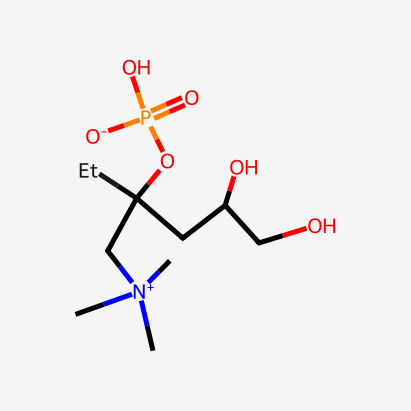 CCC(CC(O)CO)(C[N+](C)(C)C)OP(=O)([O-])O